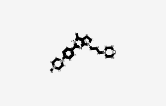 Cc1nc(-c2ccc(N3CCN(C)CC3)cc2)nc2c1CCN2CCCN1CCOCC1